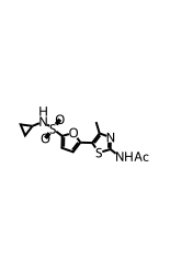 CC(=O)Nc1nc(C)c(-c2ccc(S(=O)(=O)NC3CC3)o2)s1